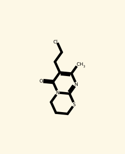 Cc1nc2n(c(=O)c1CCCl)CCCS2